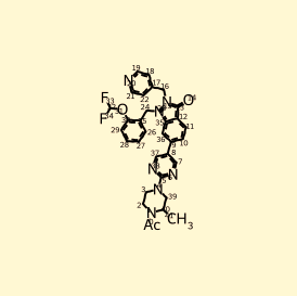 CC(=O)N1CCN(c2ncc(-c3ccc4c(=O)n(Cc5ccncc5)n(Cc5ccccc5OC(F)F)c4c3)cn2)CC1C